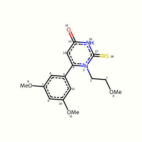 COCCn1c(-c2cc(OC)cc(OC)c2)cc(=O)[nH]c1=S